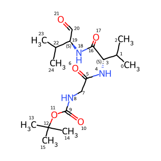 CC(C)[C@H](NC(=O)CNC(=O)OC(C)(C)C)C(=O)N[C@H](C=O)C(C)C